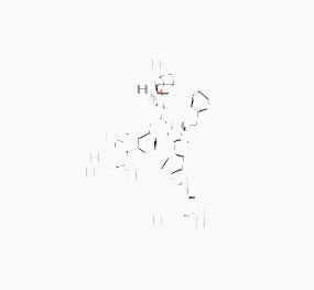 COc1c(CC(NC(=O)/C(=N\OCc2ccccc2)c2ccc3c(c2)CN(C(=O)OC(C)(C)C)C3)B2OC3C[C@H]4C[C@@H](C4(C)C)[C@]3(C)O2)cccc1C(=O)OC(C)(C)C